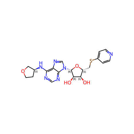 O[C@@H]1[C@H](O)[C@@H](CSc2ccncc2)O[C@H]1n1cnc2c(N[C@H]3CCOC3)ncnc21